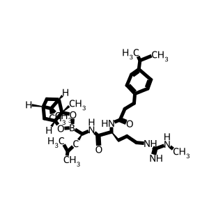 CNC(=N)NCCC[C@H](NC(=O)CCc1ccc(C(C)C)cc1)C(=O)N[C@@H](CC(C)C)B1O[C@@H]2C[C@@H]3C[C@@H](C3(C)C)[C@]2(C)O1